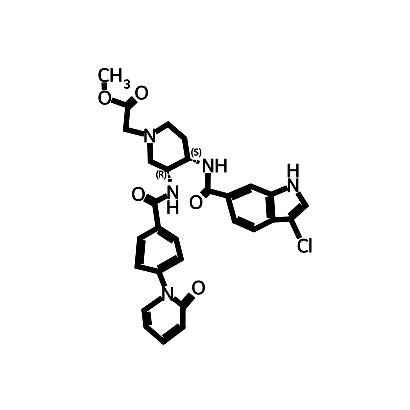 COC(=O)CN1CC[C@H](NC(=O)c2ccc3c(Cl)c[nH]c3c2)[C@H](NC(=O)c2ccc(-n3ccccc3=O)cc2)C1